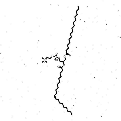 CCCCCCCC/C=C\CCCCCCCCCC(=O)O[C@H](COC(=O)CCCCCCCCCCCCCCCCC)COP(=O)(O)OCC[N+](C)(C)C